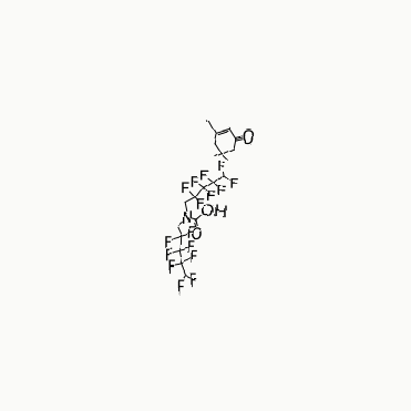 CC1=CC(=O)CC(C)(C)C1.O=C(O)N(CC(F)(F)C(F)(F)C(F)(F)C(F)F)CC(F)(F)C(F)(F)C(F)(F)C(F)F